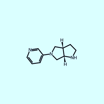 c1cncc(N2C[C@@H]3CCN[C@@H]3C2)c1